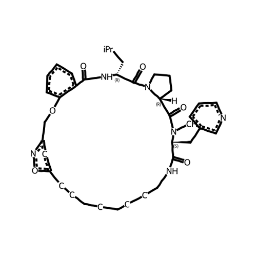 CC(C)C[C@H]1NC(=O)c2ccccc2OCc2cc(on2)CCCCCCCCNC(=O)[C@H](Cc2cccnc2)N(C)C(=O)[C@H]2CCCN2C1=O